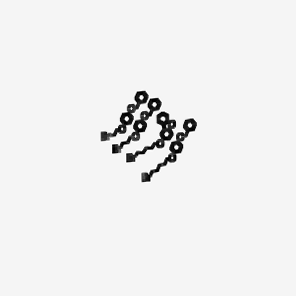 BrCCCCCOc1ccc(OCc2ccccc2)cc1.BrCCCCCOc1ccc2oc3ccccc3c2c1.BrCCCOc1ccc(OCc2ccccc2)cc1.BrCCOc1ccc(OCc2ccccc2)cc1